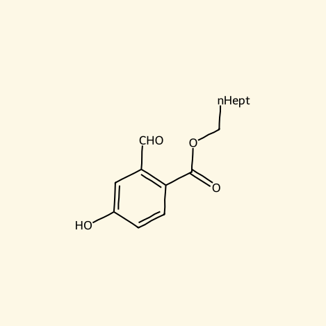 CCCCCCCCOC(=O)c1ccc(O)cc1C=O